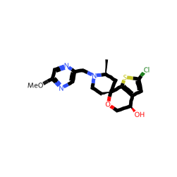 COc1cnc(CN2CC[C@]3(C[C@@H]2C)OC[C@H](O)c2cc(Cl)sc23)cn1